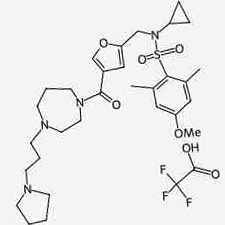 COc1cc(C)c(S(=O)(=O)N(Cc2cc(C(=O)N3CCCN(CCCN4CCCC4)CC3)co2)C2CC2)c(C)c1.O=C(O)C(F)(F)F